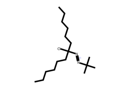 CCCCCCC(Cl)(CCCCCC)/N=N/C(C)(C)C